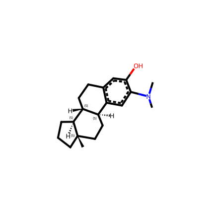 CN(C)c1cc2c(cc1O)CC[C@@H]1[C@@H]2CC[C@]2(C)CCC[C@@H]12